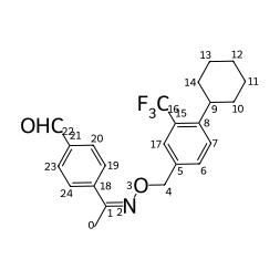 CC(=NOCc1ccc(C2CCCCC2)c(C(F)(F)F)c1)c1ccc(C=O)cc1